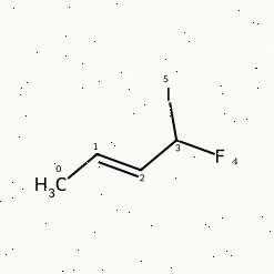 CC=CC(F)I